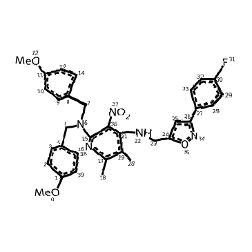 COc1ccc(CN(Cc2ccc(OC)cc2)c2nc(C)c(C)c(NCc3cc(-c4ccc(F)cc4)no3)c2[N+](=O)[O-])cc1